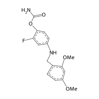 COc1ccc(CNc2ccc(OC(N)=O)c(F)c2)c(OC)c1